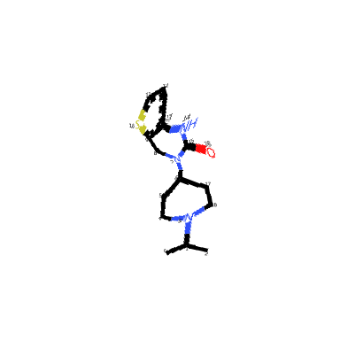 CC(C)N1CCC(N2Cc3sccc3NC2=O)CC1